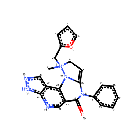 C[N+]1(Cc2ccco2)CC=C2N(c3ccccc3)C(=O)c3cnc4[nH]ncc4c3N21